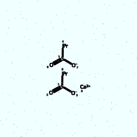 CC(C)S(=O)[O-].CC(C)S(=O)[O-].[Ca+2]